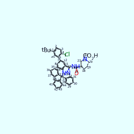 CC(C)(C)c1ccc(Cl)c(-c2ccc3c(c2)c(NC(=O)[C@@H]2CCCN(C(=O)O)C2)nn3C(c2ccccc2)(c2ccccc2)c2ccccc2)c1